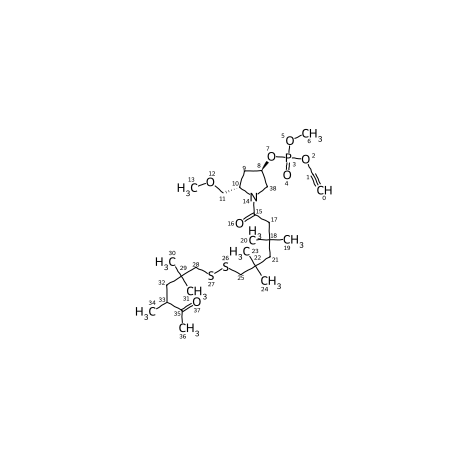 C#COP(=O)(OC)O[C@@H]1C[C@@H](COC)N(C(=O)CC(C)(C)CC(C)(C)CSSCC(C)(C)CC(C)C(C)=O)C1